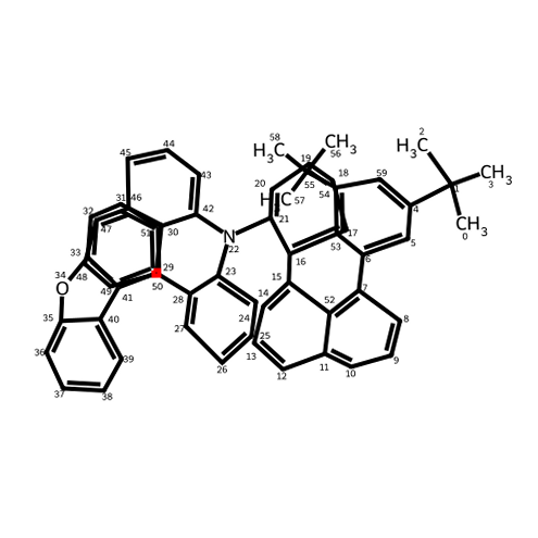 CC(C)(C)c1cc(-c2cccc3cccc(-c4ccccc4N(c4ccccc4-c4cccc5oc6ccccc6c45)c4cccc5ccccc45)c23)cc(C(C)(C)C)c1